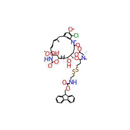 COc1cc2cc(c1Cl)N(C)C(=O)C[C@H](OC(=O)[C@H](C)N(C)C(=O)CCSSCCNC(=O)OCC1c3ccccc3-c3ccccc31)[C@@H](C)[C@@H](O)[C@H](C)[C@@H]1C[C@@](O)(NC(=O)O1)[C@H](OC)/C=C/C=C(\C)C2